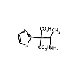 CC(N)C(C(=O)O)(C(=O)O)c1nccs1